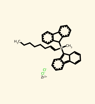 CCCCCCC=C[Si](C)(C1=c2ccccc2=C2C=CC=CC21)C1c2ccccc2-c2ccccc21.[Cl-].[Cl-].[Zr+2]